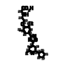 CCc1cc(-c2noc(-c3cc(C)nc(C4CCCC4)c3)n2)cc(C)c1OCCNCC(=O)O